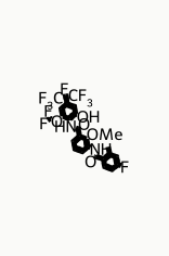 COc1c(NC(=O)c2ccc(F)cc2C)cccc1C(=O)Nc1c(O)cc(C(F)(C(F)(F)F)C(F)(F)F)cc1OC(F)F